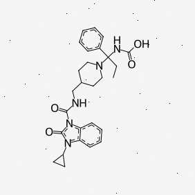 CCC(NC(=O)O)(c1ccccc1)N1CCC(CNC(=O)n2c(=O)n(C3CC3)c3ccccc32)CC1